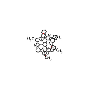 Cc1ccc2c(c1)c1ccccc1n2-c1c(-c2ccncc2)c(-n2c3ccccc3c3cc(C)ccc32)c(-n2c3ccccc3c3cc(C)ccc32)c(-n2c3ccccc3c3cc(C)ccc32)c1-c1cc(-c2ccccc2)nc(-c2ccccc2)n1